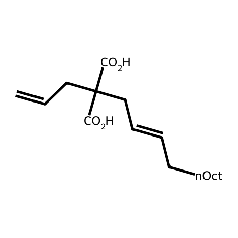 C=CCC(CC=CCCCCCCCCC)(C(=O)O)C(=O)O